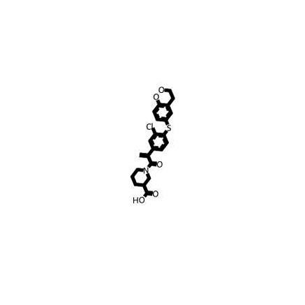 C=C(C(=O)N1CCCC(C(=O)O)C1)c1ccc(Sc2ccc3c(c2)CCOO3)c(Cl)c1